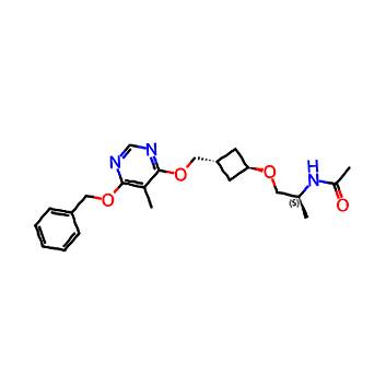 CC(=O)N[C@@H](C)CO[C@H]1C[C@H](COc2ncnc(OCc3ccccc3)c2C)C1